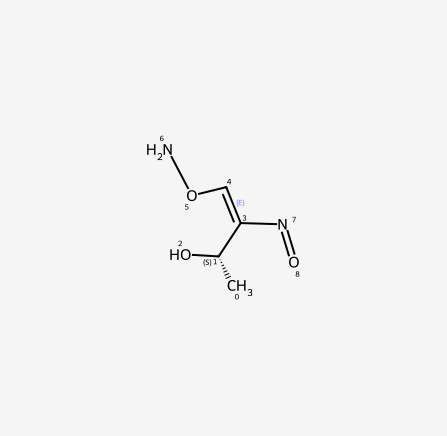 C[C@H](O)/C(=C\ON)N=O